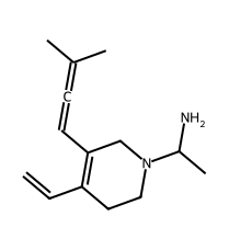 C=CC1=C(C=C=C(C)C)CN(C(C)N)CC1